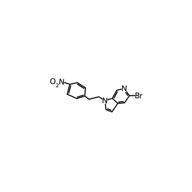 O=[N+]([O-])c1ccc(CCn2ccc3cc(Br)ncc32)cc1